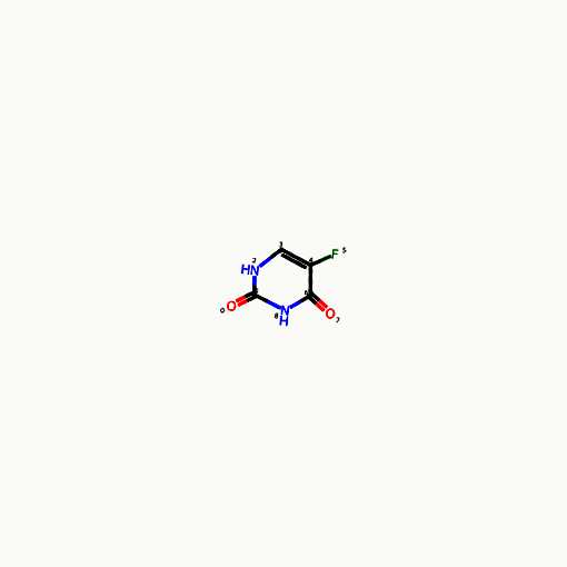 O=c1[nH][c]c(F)c(=O)[nH]1